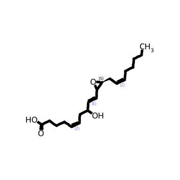 CCCCC/C=C\C[C@@H]1OC1/C=C/C(O)C/C=C\CCCC(=O)O